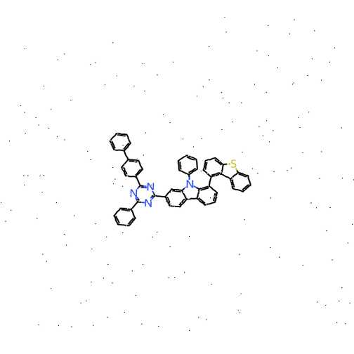 c1ccc(-c2ccc(-c3nc(-c4ccccc4)nc(-c4ccc5c6cccc(-c7cccc8sc9ccccc9c78)c6n(-c6ccccc6)c5c4)n3)cc2)cc1